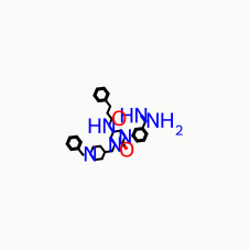 N=C(N)c1cccc(N2CC(NC(=O)CCc3ccccc3)CN(CC3CCN(Cc4ccccc4)CC3)C2=O)c1